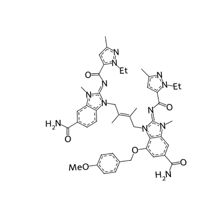 CCn1nc(C)cc1C(=O)/N=c1\n(C)c2cc(C(N)=O)ccc2n1C/C(C)=C(\C)Cn1/c(=N/C(=O)c2cc(C)nn2CC)n(C)c2cc(C(N)=O)cc(OCc3ccc(OC)cc3)c21